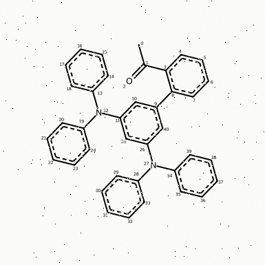 CC(=O)c1ccccc1-c1cc(N(c2ccccc2)c2ccccc2)cc(N(c2ccccc2)c2ccccc2)c1